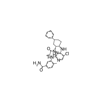 C=CC(=O)N[C@H]1CC(c2ccccc2)CC[C@H]1Nc1nc(Nc2cc(C(N)=O)ccc2C)ncc1Cl